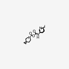 O=C(Nc1ccc(I)nc1)OC(=O)N1CCC2(CC1)CC2